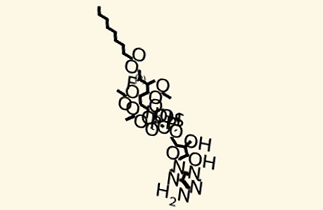 CCCCCCCCC(=O)OC[C@H](F)C(C)C(OC(C)=O)C(OC(C)=O)C(OC(C)=O)C(OC)OP(=O)(O)OP(O)(=S)OCC1OC(n2cnc3c(N)ncnc32)C(O)C1O